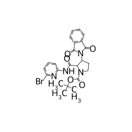 CC(C)(C)OC(=O)N1CCC(N2C(=O)c3ccccc3C2=O)C1C(=O)Nc1cccc(Br)n1